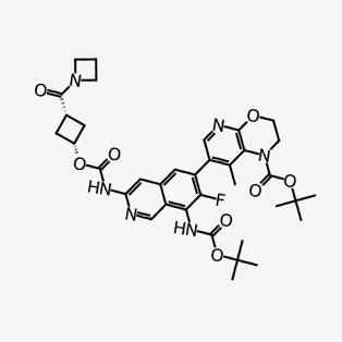 Cc1c(-c2cc3cc(NC(=O)O[C@H]4C[C@@H](C(=O)N5CCC5)C4)ncc3c(NC(=O)OC(C)(C)C)c2F)cnc2c1N(C(=O)OC(C)(C)C)CCO2